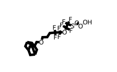 OOOSC(F)(F)C(F)(F)OC(F)(F)C(F)(F)CCCOCC12CC3CC(CC(C3)C1)C2